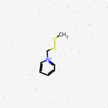 CSSC[n+]1ccccc1